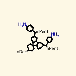 CCCCCCCCCCC1CCC(c2ccc(C(CCCCC)c3ccc(N)cc3)cc2)(c2ccc(C(CCCCC)c3ccc(N)cc3)cc2)CC1